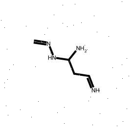 C=NNC(N)CC=N